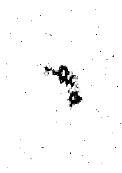 CC(=O)OCc1ccc2oc(=O)c(C(=O)Oc3cc(C)ccc3Cl)cc2c1